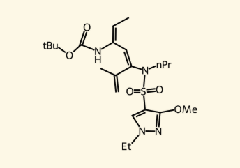 C=C(C)/C(=C\C(=C/C)NC(=O)OC(C)(C)C)N(CCC)S(=O)(=O)c1cn(CC)nc1OC